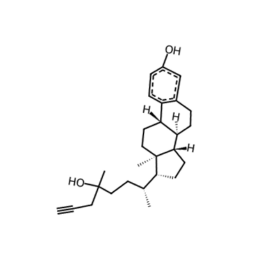 C#CCC(C)(O)CC[C@@H](C)[C@H]1CC[C@H]2[C@@H]3CCc4cc(O)ccc4[C@H]3CC[C@]12C